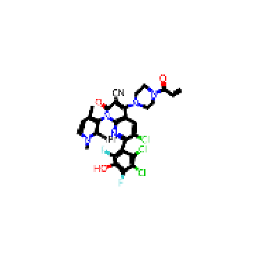 C=CC(=O)N1CCN(c2c(C#N)c(=O)n(C3=C(C)C=CN(C)C3C(C)C)c3nc(-c4c(F)c(O)c(F)c(Cl)c4Cl)c(Cl)cc23)CC1